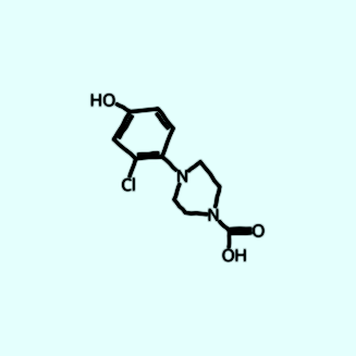 O=C(O)N1CCN(c2ccc(O)cc2Cl)CC1